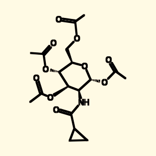 CC(=O)OC[C@H]1O[C@H](OC(C)=O)[C@@H](NC(=O)C2CC2)[C@@H](OC(C)=O)[C@@H]1OC(C)=O